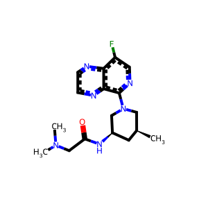 C[C@H]1C[C@@H](NC(=O)CN(C)C)CN(c2ncc(F)c3nccnc23)C1